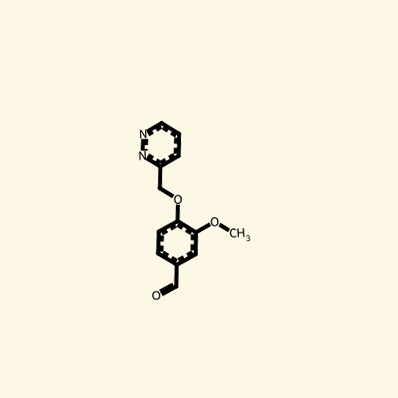 COc1cc(C=O)ccc1OCc1cccnn1